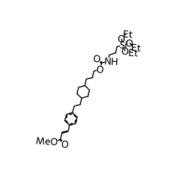 CCO[Si](CCCNC(=O)OCCCC1CCC(CCc2ccc(/C=C/C(=O)OC)cc2)CC1)(OCC)OCC